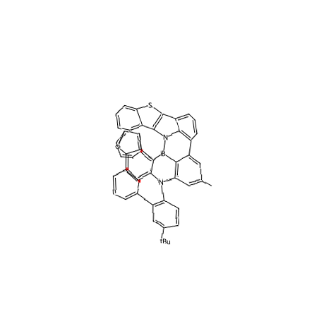 Cc1cc2c3c(c1)N(c1ccc(C(C)(C)C)cc1-c1ccccc1)c1ccc4oc5ccccc5c4c1B3n1c3c-2cccc3c2sc3ccccc3c21